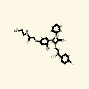 O=C(COc1ccc([C@@H]2[C@@H](CC[C@H](O)c3ccc(F)cc3)C(=O)N2c2ccccc2)c(O)c1)NCCO